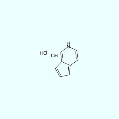 Cl.Cl.c1cc2cc[nH]cc-2c1